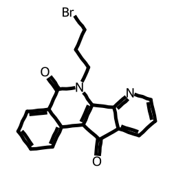 O=C1c2cccnc2-c2c1c1ccccc1c(=O)n2CCCBr